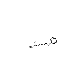 CC(C)(C)C(O)CCCCOc1ccccc1